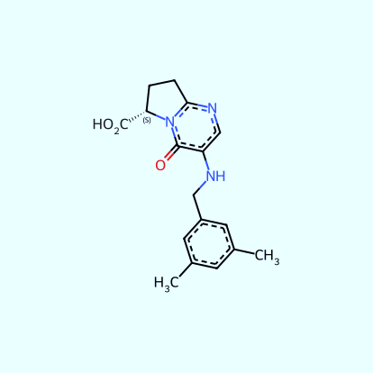 Cc1cc(C)cc(CNc2cnc3n(c2=O)[C@H](C(=O)O)CC3)c1